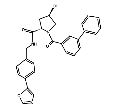 O=C(NCc1ccc(-c2cnco2)cc1)[C@@H]1C[C@@H](O)CN1C(=O)c1cccc(-c2ccccc2)c1